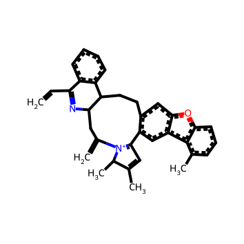 C=CC1=NC2CC(=C)[N+]3=C(C=C(C)C3C)c3cc4c(cc3CCC2c2ccccc21)oc1cccc(C)c14